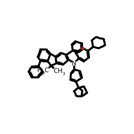 CC1(C)c2cc(N(c3ccc(C4CCCCC4)cc3)c3ccc(C45CCC(CC4)C5)cc3)c(-c3ccccc3)cc2-c2cccc(-c3ccccc3)c21